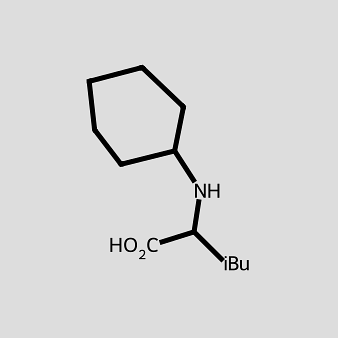 CCC(C)C(NC1CCCCC1)C(=O)O